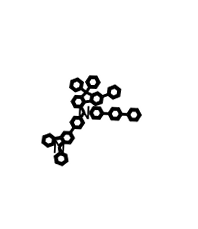 c1ccc(-c2ccc(-c3ccc(N(c4ccc(-c5ccc6c(c5)c5ccccc5n6-c5ccccc5)cc4)c4cccc5c4-c4ccc(-c6ccccc6)cc4C5(c4ccccc4)c4ccccc4)cc3)cc2)cc1